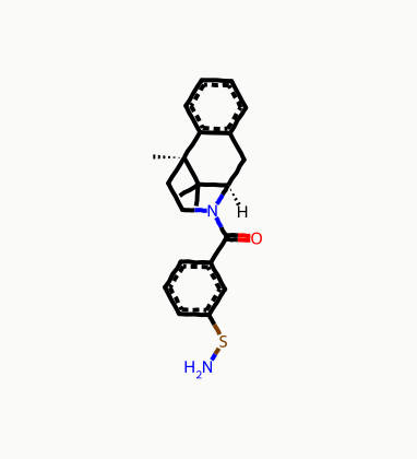 CC1(C)[C@H]2Cc3ccccc3[C@]1(C)CCN2C(=O)c1cccc(SN)c1